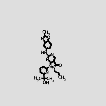 C=CCn1c(=O)c2cnc(Nc3ccc4oc(C)nc4c3)nc2n1-c1cccc(C(C)(C)O)n1